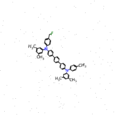 Cc1ccc(N(c2ccc(-c3ccc(-c4ccc(N(c5ccc(CF)cc5)c5cc(C)cc(C)c5)cc4)cc3)cc2)c2cc(C)cc(C)c2)cc1